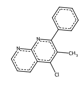 Cc1c(-c2ccccc2)nc2ncccc2c1Cl